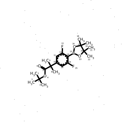 CC(C)(C)OC(=O)C(C)(C)c1cc(F)c(B2OC(C)(C)C(C)(C)O2)c(F)c1